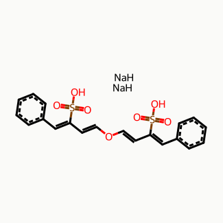 O=S(=O)(O)C(C=COC=CC(=Cc1ccccc1)S(=O)(=O)O)=Cc1ccccc1.[NaH].[NaH]